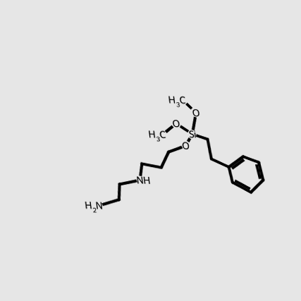 CO[Si](CCc1ccccc1)(OC)OCCCNCCN